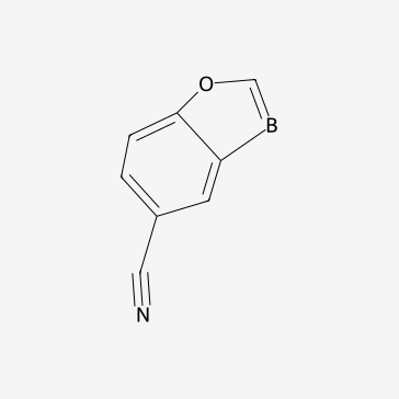 N#Cc1ccc2ocbc2c1